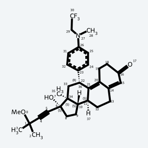 COC(C)(C)C#C[C@]1(O)CC[C@H]2[C@@H]3CCC4=CC(=O)CCC4=C3[C@@H](c3ccc(N(C)CC(F)(F)F)cc3)C[C@@]21C